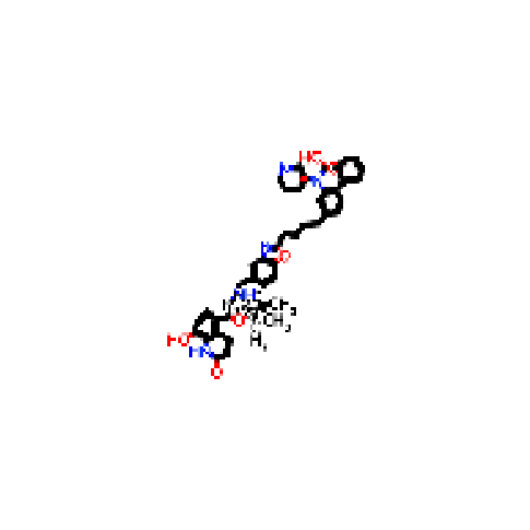 CC(C)(C)[Si](C)(C)O[C@@H](CNCc1ccc2oc(CCCCc3ccc(-c4ccccc4)c(N(C(=O)O)C4CN5CCC4CC5)c3)nc2c1)c1ccc(O)c2[nH]c(=O)ccc12